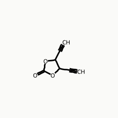 C#CC1OC(=O)OC1C#C